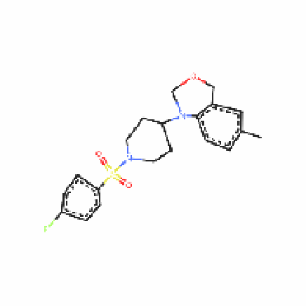 Cc1ccc2c(c1)COCN2C1CCN(S(=O)(=O)c2ccc(F)cc2)CC1